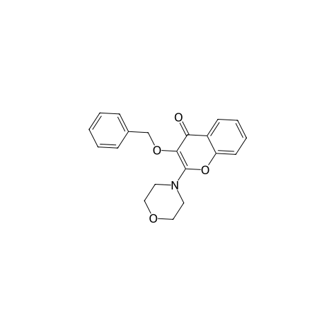 O=c1c(OCc2ccccc2)c(N2CCOCC2)oc2ccccc12